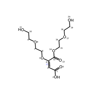 O=C(O)/C=C(/OCCOCCO)C(=O)OCCOCCO